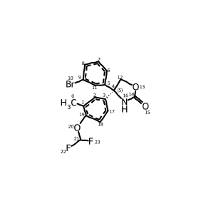 Cc1cc([C@]2(c3cccc(Br)c3)COC(=O)N2)ccc1OC(F)F